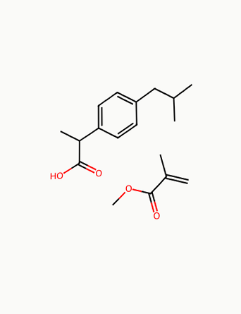 C=C(C)C(=O)OC.CC(C)Cc1ccc(C(C)C(=O)O)cc1